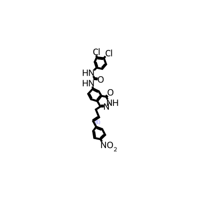 O=C(Nc1ccc(Cl)c(Cl)c1)Nc1ccc2c(C/C=C/c3ccc([N+](=O)[O-])cc3)n[nH]c(=O)c2c1